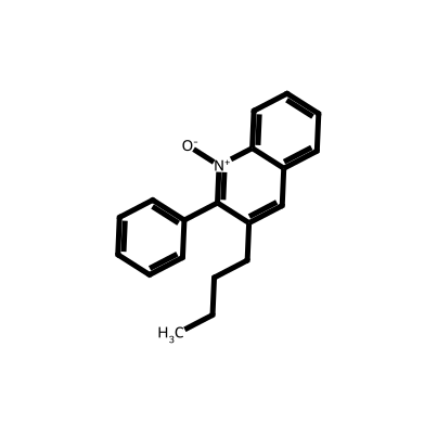 CCCCc1cc2ccccc2[n+]([O-])c1-c1ccccc1